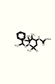 CCCCCCC(=O)NC1CC(C)(CC)N(OC(C)c2ccccc2)C(C)(CC)C1C